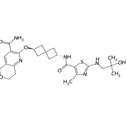 Cc1nc(NCC(C)(C)O)sc1C(=O)N[C@H]1CC2(C1)C[C@H](Oc1nc3c(cc1C(N)=O)COCC3)C2